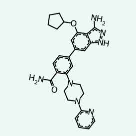 NC(=O)c1ccc(-c2cc(OC3CCCC3)c3c(N)n[nH]c3c2)cc1N1CCN(c2ccccn2)CC1